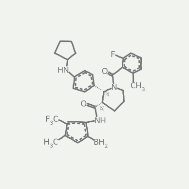 Bc1cc(C)c(C(F)(F)F)cc1NC(=O)[C@H]1CCCN(C(=O)c2c(C)cccc2F)[C@H]1c1ccc(NC2CCCC2)cc1